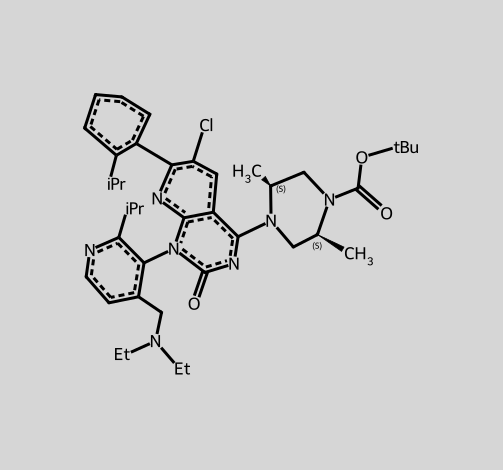 CCN(CC)Cc1ccnc(C(C)C)c1-n1c(=O)nc(N2C[C@H](C)N(C(=O)OC(C)(C)C)C[C@@H]2C)c2cc(Cl)c(-c3ccccc3C(C)C)nc21